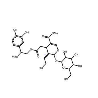 COC(=O)C1=COC(OC2OC(CO)C(O)C(O)C2O)/C(=C\CO)C1CC(=O)OCC(OC)c1ccc(O)c(O)c1